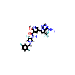 COc1ncc(-c2cc(C(F)(F)F)c3c(N)ncnn23)cc1C(=O)NC1CN(Cc2cc(F)ccc2F)CC1F